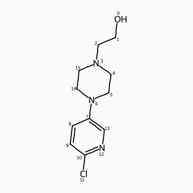 OCCN1CCN(c2ccc(Cl)nc2)CC1